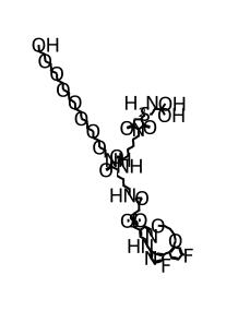 N[C@@H](CSC1CC(=O)N(CCCCCC(=O)N[C@@H](CCCCNC2OC2CCS(=O)(=O)Cc2cc3nc(c2)OCCCOc2cc(F)ccc2-c2cc(ncc2F)N3)C(=O)NCCOCCOCCOCCOCCOCCOCCOCCO)C1=O)C(O)O